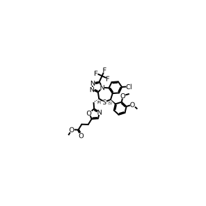 COC(=O)CCc1cnc(C[C@H]2S[C@H](c3cccc(OC)c3OC)c3cc(Cl)ccc3-n3c2nnc3C(F)(F)F)o1